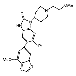 COCCN1CCC(n2c(=O)[nH]c3cc(-c4cc(OC)c5ncnn5c4)c(C(C)C)cc32)CC1